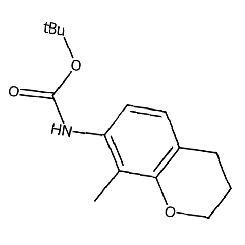 Cc1c(NC(=O)OC(C)(C)C)ccc2c1OCCC2